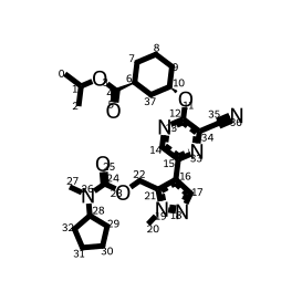 CC(C)OC(=O)[C@H]1CCC[C@H](Oc2ncc(-c3cnn(C)c3COC(=O)N(C)C3CCCC3)nc2C#N)C1